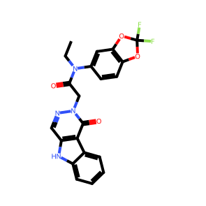 CCN(C(=O)Cn1ncc2[nH]c3ccccc3c2c1=O)c1ccc2c(c1)OC(F)(F)O2